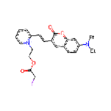 CCN(CC)c1ccc2cc(/C=C/c3cccc[n+]3CCOC(=O)CI)c(=O)oc2c1